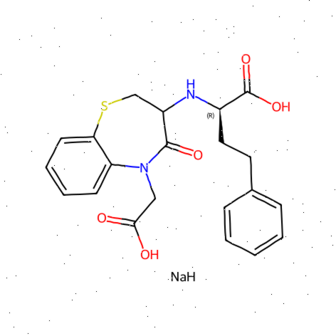 O=C(O)CN1C(=O)C(N[C@H](CCc2ccccc2)C(=O)O)CSc2ccccc21.[NaH]